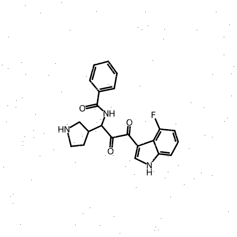 O=C(NC(C(=O)C(=O)c1c[nH]c2cccc(F)c12)C1CCNC1)c1ccccc1